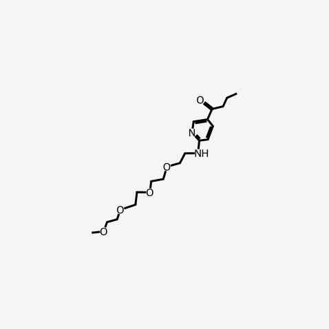 CCCC(=O)c1ccc(NCCOCCOCCOCCOC)nc1